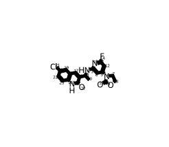 CC(Nc1cc(N2CCOC2=O)cc(F)n1)c1cc2cc(Cl)ccc2[nH]c1=O